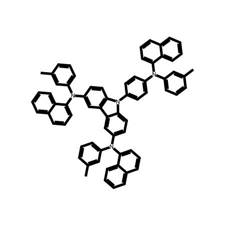 Cc1cccc(N(c2ccc(-n3c4ccc(N(c5cccc(C)c5)c5cccc6ccccc56)cc4c4cc(N(c5cccc(C)c5)c5cccc6ccccc56)ccc43)cc2)c2cccc3ccccc23)c1